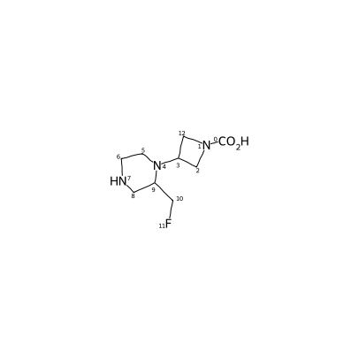 O=C(O)N1CC(N2CCNCC2CF)C1